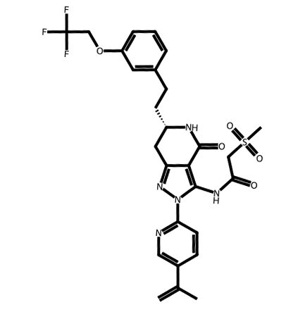 C=C(C)c1ccc(-n2nc3c(c2NC(=O)CS(C)(=O)=O)C(=O)N[C@@H](CCc2cccc(OCC(F)(F)F)c2)C3)nc1